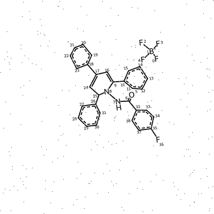 F[B-](F)(F)F.O=C(NN1C(c2ccccc2)=CC(c2ccccc2)=CC1c1ccccc1)c1ccc(F)cc1